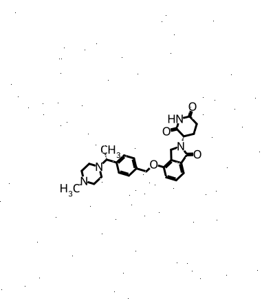 C[C@H](c1ccc(COc2cccc3c2CN([C@H]2CCC(=O)NC2=O)C3=O)cc1)N1CCN(C)CC1